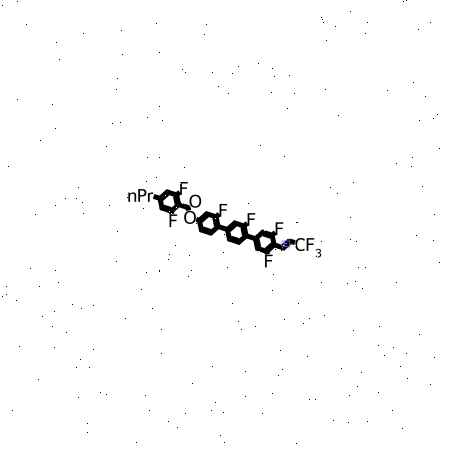 CCCc1cc(F)c(C(=O)Oc2ccc(-c3ccc(-c4cc(F)c(/C=C/C(F)(F)F)c(F)c4)c(F)c3)c(F)c2)c(F)c1